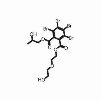 CC(O)COC(=O)c1c(Br)c(Br)c(Br)c(Br)c1C(=O)OCCOCCO